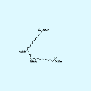 CNC(=O)CCCCCCCC/C=C/[C@H](CCSC[C@@H](/C=C/CCCCCCCCC(=O)NC)NC(C)=O)NC(C)=O